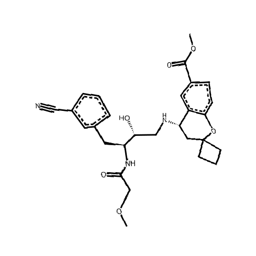 COCC(=O)N[C@@H](Cc1cccc(C#N)c1)[C@H](O)CN[C@H]1CC2(CCC2)Oc2ccc(C(=O)OC)cc21